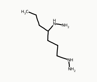 CCCC(CCCNN)NN